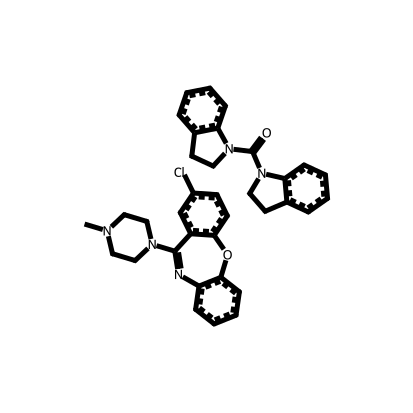 CN1CCN(C2=Nc3ccccc3Oc3ccc(Cl)cc32)CC1.O=C(N1CCc2ccccc21)N1CCc2ccccc21